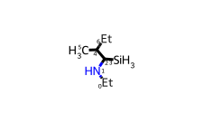 CCNC([SiH3])C(C)CC